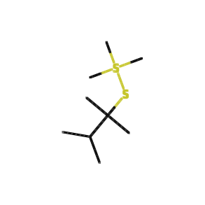 CC(C)C(C)(C)SS(C)(C)C